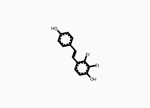 CCc1c(O)ccc(C=Cc2ccc(O)cc2)c1CC